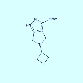 CSc1n[nH]c2c1CN(C1COC1)C2